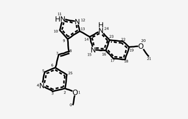 COc1cncc(/C=C/c2c[nH]nc2-c2nc3ccc(OC)cc3[nH]2)c1